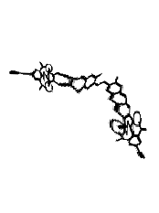 C#Cc1cc(C(C)C)c(N2C(=O)c3cc4cc5cc(C)c(CCc6cc7cc8cc9c(cc8cc7cc6C)C(=O)N(c6c(C(C)C)cc(C#C)cc6C(C)C)C9=O)cc5cc4cc3C2=O)c(C(C)C)c1